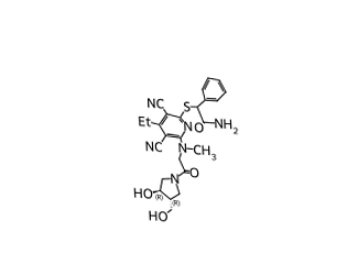 CCc1c(C#N)c(SC(C(N)=O)c2ccccc2)nc(N(C)CC(=O)N2C[C@H](CO)[C@@H](O)C2)c1C#N